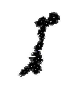 CC1(C)c2cc(/C=C/c3ccc(/C=C/c4ccc5c(c4)C(C)(C)c4cc(N(c6ccc(-c7ccc8ccccc8c7)cc6)c6cccc7ccccc67)ccc4-5)cc3)ccc2-c2ccc(N(c3ccc(-c4ccc5ccccc5c4)cc3)c3cccc4ccccc34)cc21